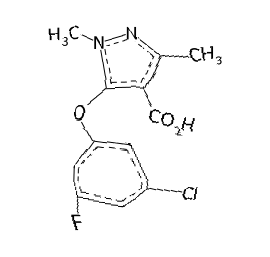 Cc1nn(C)c(Oc2cc(F)cc(Cl)c2)c1C(=O)O